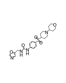 O=C(NCc1cnco1)Nc1ccc(S(=O)(=O)C2CCN(C3CCOCC3)CC2)cc1